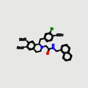 COc1ccc(CC2c3cc(OC)c(OC)cc3CCN2CC(=O)NCc2cccc3ccccc23)cc1Br